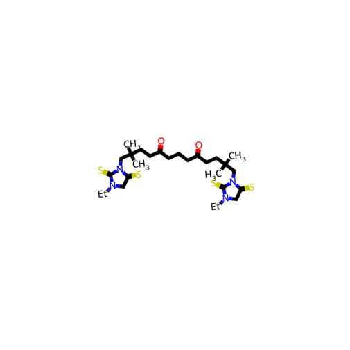 CCN1CC(=S)N(CC(C)(C)CCC(=O)CCCC(=O)CCC(C)(C)CN2C(=S)CN(CC)C2=S)C1=S